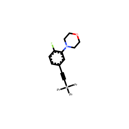 CC(C)[Si](C#Cc1ccc(F)c(N2CCOCC2)c1)(C(C)C)C(C)C